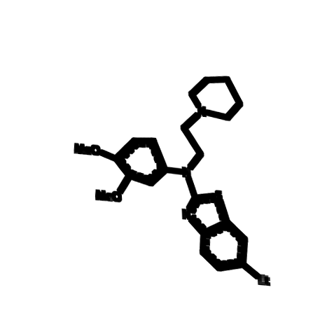 CCc1ccc2nc(N(CCN3CCCCC3)c3ccc(OC)c(OC)c3)sc2c1